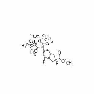 CCOC(=O)C1(F)Cc2cc(N(C(=O)OC(C)(C)C)C(=O)OC(C)(C)C)cc(F)c2C1